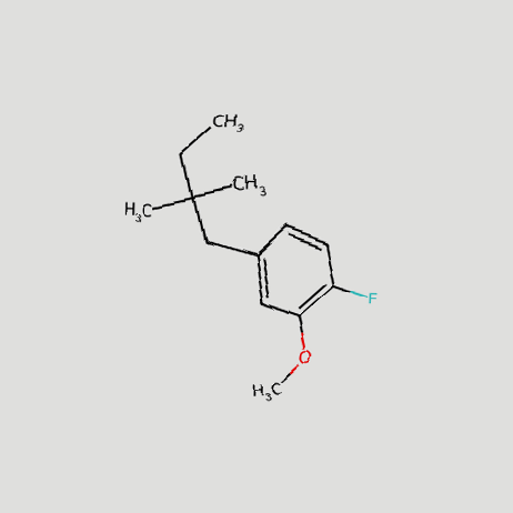 CCC(C)(C)Cc1ccc(F)c(OC)c1